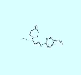 CCC[C](C=CCc1ccc(OC)cc1)C1CCOCC1